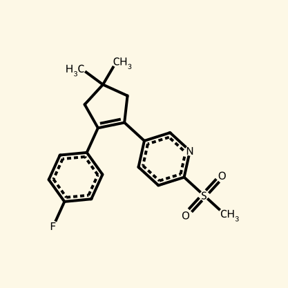 CC1(C)CC(c2ccc(F)cc2)=C(c2ccc(S(C)(=O)=O)nc2)C1